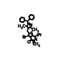 Cc1nn(C(c2ccccc2)c2ccccc2)c(C)c1Cc1sc2c(C(C)C)nn(C)c(=O)c2c1Br